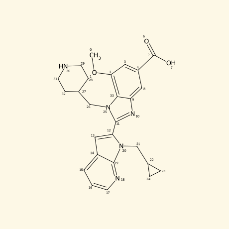 COc1cc(C(=O)O)cc2nc(-c3cc4cccnc4n3CC3CC3)n(CC3CCNCC3)c12